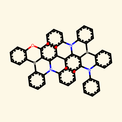 c1ccc(N2c3ccccc3B3c4ccccc4N(c4ccccc4)c4c(-c5ccc6c7c5N(c5ccccc5)c5ccccc5B7c5ccccc5O6)ccc2c43)cc1